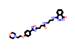 O=C(CCc1nc(-c2ccc(OCCN3CCOCC3)cc2)no1)NCCCNc1n[nH]c(=O)c2ccccc12